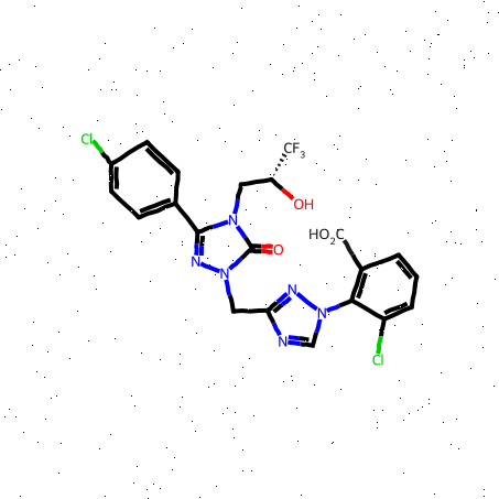 O=C(O)c1cccc(Cl)c1-n1cnc(Cn2nc(-c3ccc(Cl)cc3)n(C[C@@H](O)C(F)(F)F)c2=O)n1